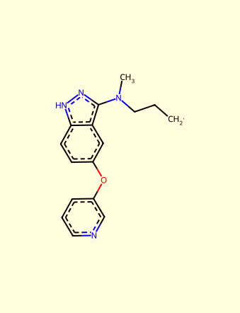 [CH2]CCN(C)c1n[nH]c2ccc(Oc3cccnc3)cc12